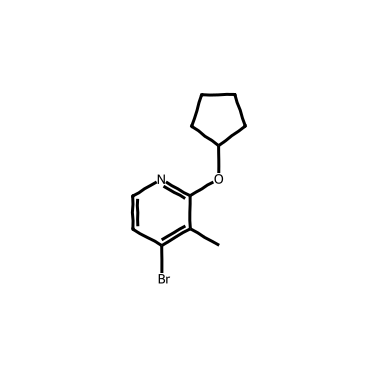 Cc1c(Br)ccnc1OC1CCCC1